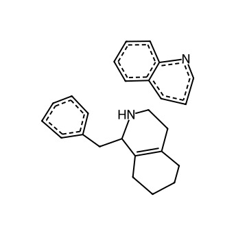 c1ccc(CC2NCCC3=C2CCCC3)cc1.c1ccc2ncccc2c1